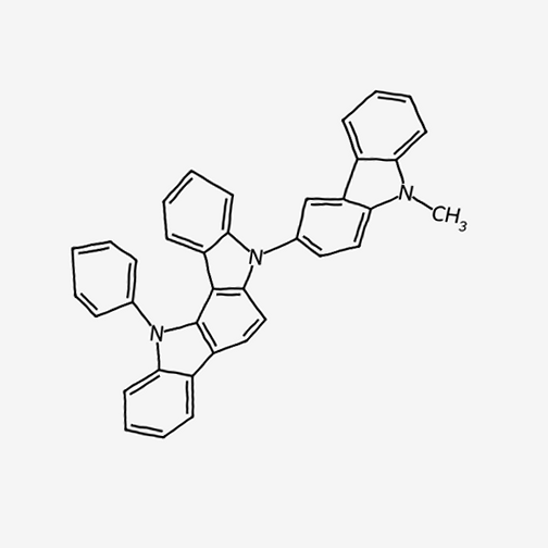 Cn1c2ccccc2c2cc(-n3c4ccccc4c4c3ccc3c5ccccc5n(-c5ccccc5)c34)ccc21